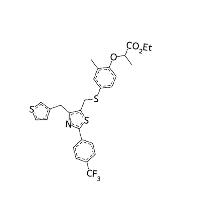 CCOC(=O)C(C)Oc1ccc(SCc2sc(-c3ccc(C(F)(F)F)cc3)nc2Cc2ccsc2)cc1C